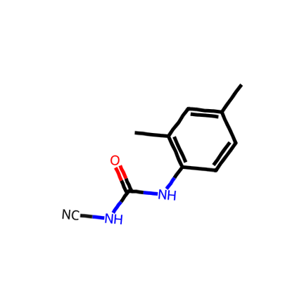 Cc1ccc(NC(=O)NC#N)c(C)c1